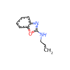 C=CCNc1nc2ccccc2o1